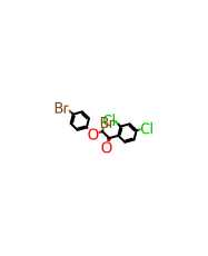 O=C(c1ccc(Cl)cc1Cl)C(Br)Oc1ccc(Br)cc1